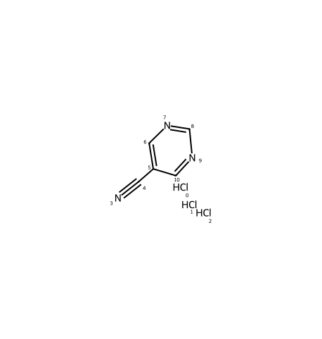 Cl.Cl.Cl.N#Cc1cncnc1